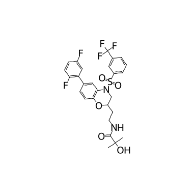 CC(C)(O)C(=O)NCCC1CN(S(=O)(=O)c2cccc(C(F)(F)F)c2)c2cc(-c3cc(F)ccc3F)ccc2O1